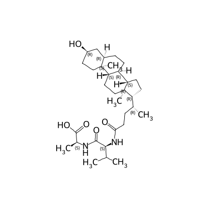 CC(C)[C@H](NC(=O)CC[C@@H](C)[C@H]1CC[C@H]2[C@@H]3CC[C@@H]4C[C@H](O)CC[C@]4(C)[C@H]3CC[C@]12C)C(=O)N[C@@H](C)C(=O)O